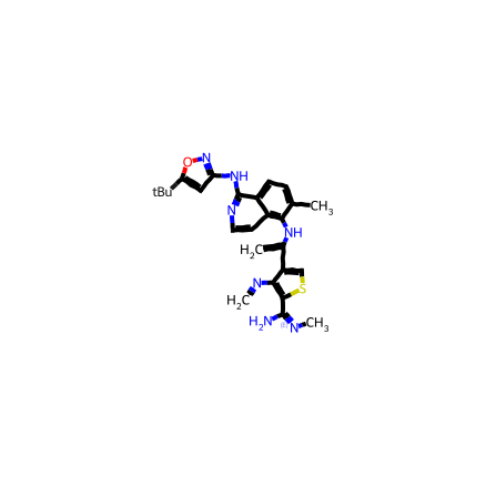 C=Nc1c(C(=C)Nc2c(C)ccc3c(Nc4cc(C(C)(C)C)on4)nccc23)csc1/C(N)=N\C